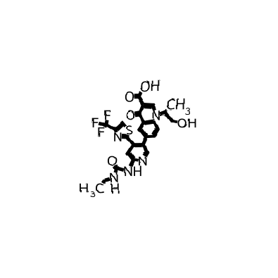 CCNC(=O)Nc1cc(-c2nc(C(F)(F)F)cs2)c(-c2ccc3c(c2)c(=O)c(C(=O)O)cn3[C@@H](C)CO)cn1